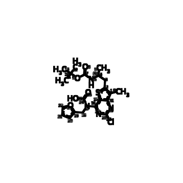 Cc1c(C[C@H](C)NC(=O)OC(C)(C)C)sc2c(N(Cc3ccco3)C(=O)O)nc(Cl)nc12